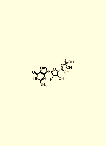 Nc1nc2c(ncn2[C@@H]2O[C@H](C(O)OP(=O)(O)O)[C@@H](O)[C@H]2F)c(=O)[nH]1